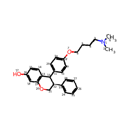 CN(C)CCCCOc1ccc(C2c3ccc(O)cc3OC[C@@H]2c2ccccc2)cc1